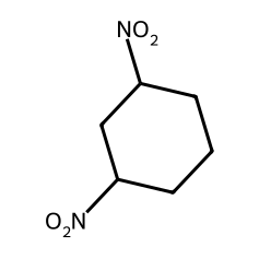 O=[N+]([O-])C1CCCC([N+](=O)[O-])C1